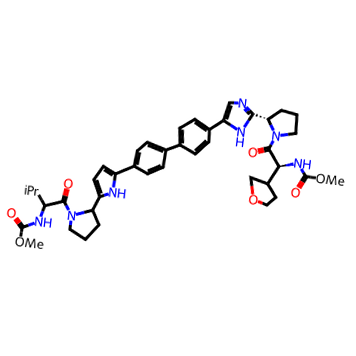 COC(=O)NC(C(=O)N1CCCC1c1ccc(-c2ccc(-c3ccc(-c4cnc([C@@H]5CCCN5C(=O)[C@@H](NC(=O)OC)C5CCOC5)[nH]4)cc3)cc2)[nH]1)C(C)C